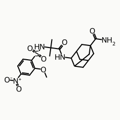 COc1cc([N+](=O)[O-])ccc1S(=O)(=O)NC(C)(C)C(=O)NC1C2CC3CC1CC(C(N)=O)(C3)C2